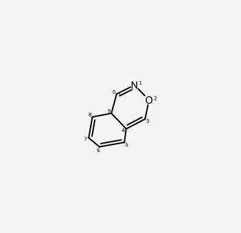 [C]1=NOC=C2C=CC=CC12